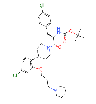 CC(C)(C)OC(=O)N[C@H](Cc1ccc(Cl)cc1)C(=O)N1CCC(c2ccc(Cl)cc2OCCCN2CCCCC2)CC1